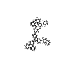 c1ccc(-c2ccc(N(c3ccc(-c4ccc5c(c4)c4cc(-c6ccc7ccccc7c6)ccc4n5-c4ccc5c6ccccc6c6ccccc6c5c4)cc3)c3cccc4oc5ccccc5c34)cc2)cc1